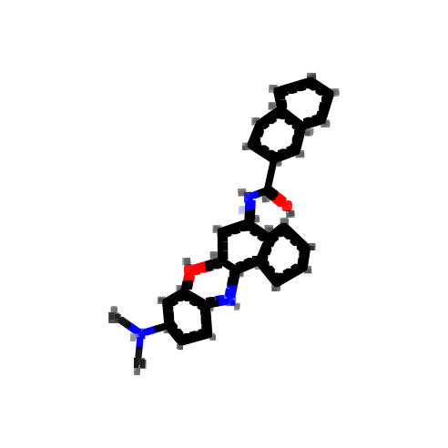 CCN(CC)c1ccc2nc3c4ccccc4/c(=N\C(=O)c4ccc5ccccc5c4)cc-3oc2c1